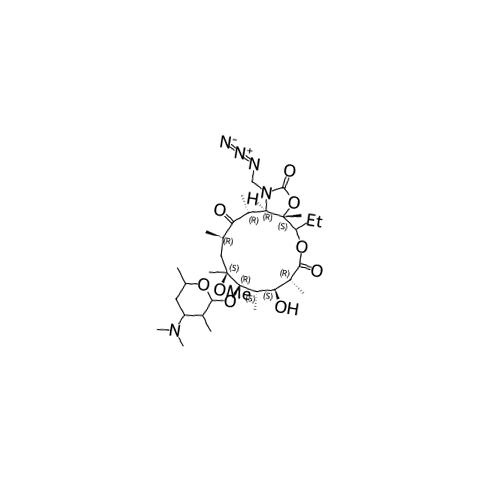 CCC1OC(=O)[C@H](C)[C@@H](O)[C@H](C)[C@@H](OC2OC(C)CC(N(C)C)C2C)[C@@](C)(OC)C[C@@H](C)C(=O)[C@H](C)[C@H]2N(CN=[N+]=[N-])C(=O)O[C@]12C